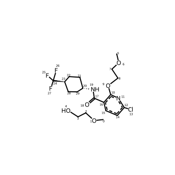 COCCO.COCCOc1nc(Cl)ccc1C(=O)N[C@H]1CC[C@H](C(F)(F)F)CC1